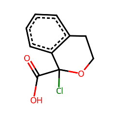 O=C(O)C1(Cl)OCCc2ccccc21